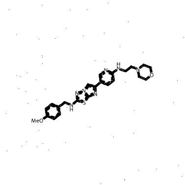 COc1ccc(CNc2nn3cc(-c4ccc(NCCN5CCOCC5)nc4)nc3s2)cc1